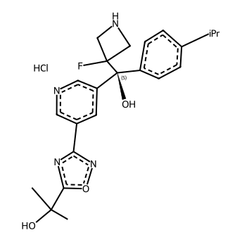 CC(C)c1ccc([C@](O)(c2cncc(-c3noc(C(C)(C)O)n3)c2)C2(F)CNC2)cc1.Cl